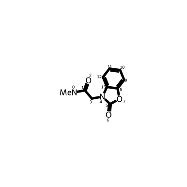 CNC(=O)Cn1c(=O)oc2ccccc21